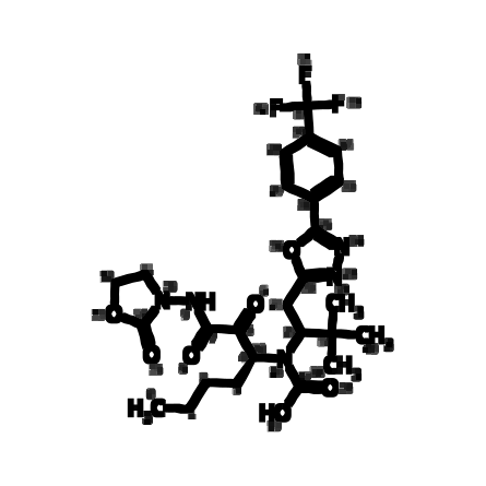 CCCC[C@@H](C(=O)C(=O)NN1CCOC1=O)N(C(=O)O)C(Cc1nnc(-c2ccc(C(F)(F)F)cc2)o1)C(C)(C)C